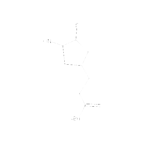 C=C(CCC1CC(F)C(N=O)C1)C(C)(C)C